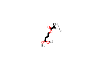 C=C(C)C(=O)OCCC[C](OCC)OCC